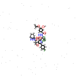 COc1cc(C(=O)NCC(O)(c2cc3c(c(-c4ccc(F)cc4)n2)OC[C@]3(C)C(=O)NC2(C)CCCCC2)C(F)(F)F)ccc1OC1CC1